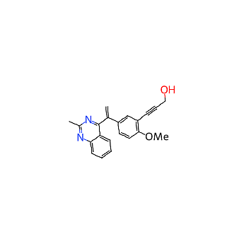 C=C(c1ccc(OC)c(C#CCO)c1)c1nc(C)nc2ccccc12